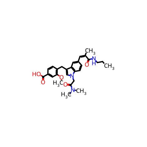 CCCNC(=O)C(C)=Cc1ccc2c(c1)c(Cc1ccc(C(=O)O)cc1OC)cn2CC(=O)N(C)C